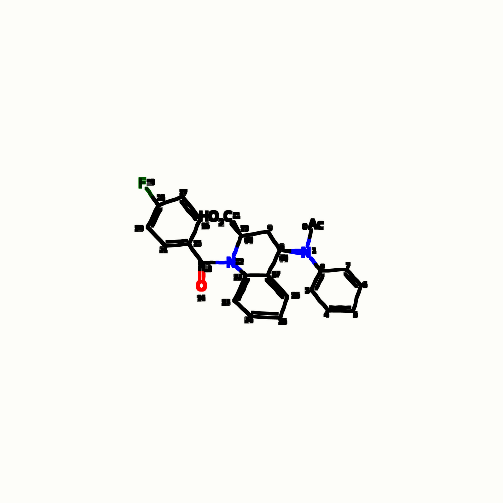 CC(=O)N(c1ccccc1)[C@@H]1C[C@H](C(=O)O)N(C(=O)c2ccc(F)cc2)c2ccccc21